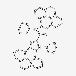 c1ccc(-n2c(-c3nc4c5cccc6ccc7cccc(c7c65)c4n3-c3ccccc3)nc3c4cccc5ccc6cccc(c6c54)c32)cc1